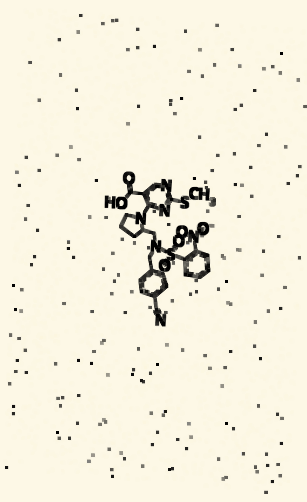 CSc1ncc(C(=O)O)c(N2CCCC2CN(Cc2ccc(C#N)cc2)S(=O)(=O)c2ccccc2[N+](=O)[O-])n1